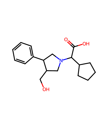 O=C(O)C(C1CCCC1)N1CC(CO)C(c2ccccc2)C1